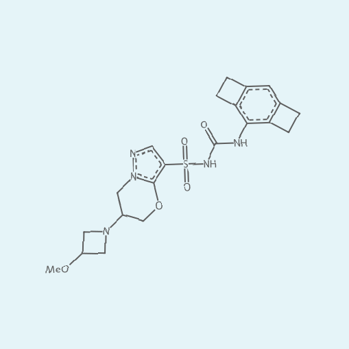 COC1CN(C2COc3c(S(=O)(=O)NC(=O)Nc4c5c(cc6c4CC6)CC5)cnn3C2)C1